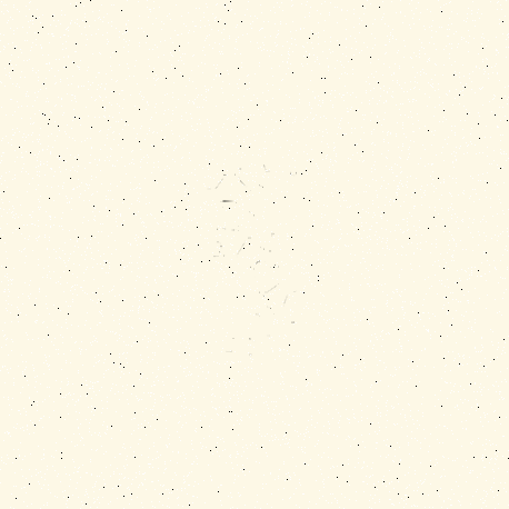 COC(=O)Nc1cc(Oc2cnc3nc(Nc4cc(C)n(C5CC6(COC6)C5)n4)n(C)c3c2C#N)ccn1